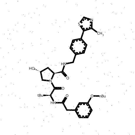 CCCCOc1cccc(CC(=O)N[C@H](C(=O)N2C[C@H](O)C[C@H]2C(=O)NCc2ccc(-c3scnc3C)cc2)C(C)(C)C)c1